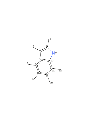 CC1=C(C)c2c(C)c(C)c(C)c(C)c2[N]1